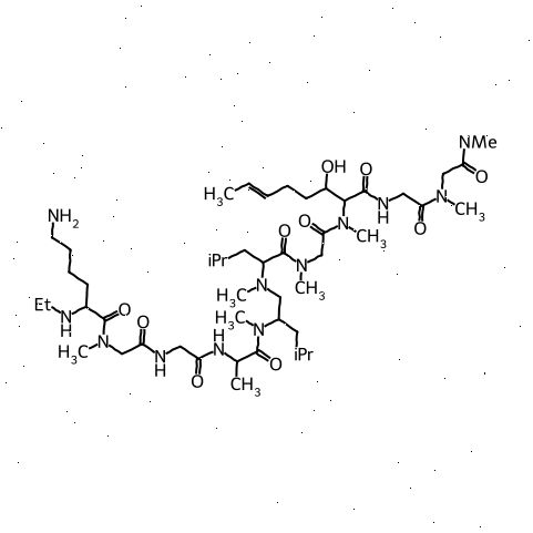 C/C=C/CCC(O)C(C(=O)NCC(=O)N(C)CC(=O)NC)N(C)C(=O)CN(C)C(=O)C(CC(C)C)N(C)CC(CC(C)C)N(C)C(=O)C(C)NC(=O)CNC(=O)CN(C)C(=O)C(CCCCN)NCC